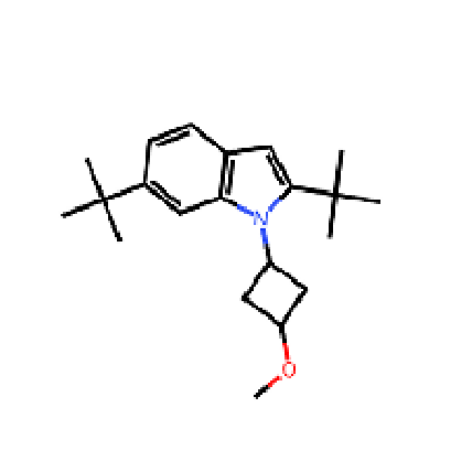 COC1CC(n2c(C(C)(C)C)cc3ccc(C(C)(C)C)cc32)C1